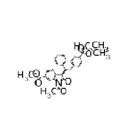 COC(=O)c1ccc2c(c1)N(C(C)=O)C(=O)/C2=C(\Cc1ccc(C(=O)OC(C)(C)C)cc1)c1ccccc1